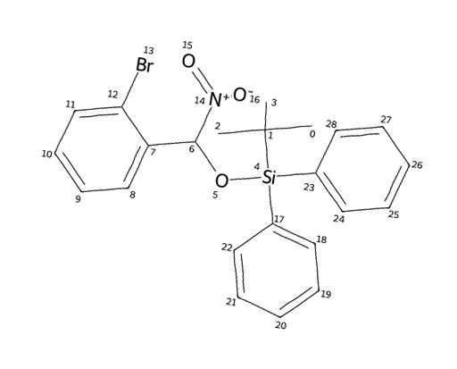 CC(C)(C)[Si](OC(c1ccccc1Br)[N+](=O)[O-])(c1ccccc1)c1ccccc1